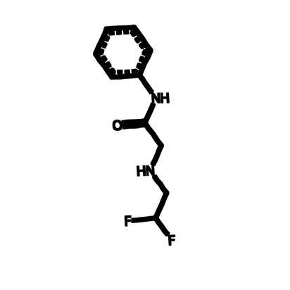 O=C(CNCC(F)F)Nc1ccccc1